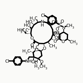 CC[C@H]1OC(=O)[C@H](C)[C@@H](O[C@H]2C[C@@](C)(OC)[C@](O)(CNc3ccc(Cl)cc3)[C@H](C)O2)[C@H](C)[C@@H](O[C@@H]2O[C@H](C)C[C@H](N(C)S(=O)(=O)c3ccc(Cl)cc3)[C@H]2O)[C@](C)(O)C[C@@H](C)CN[C@H](C)[C@@H](O)[C@]1(C)O